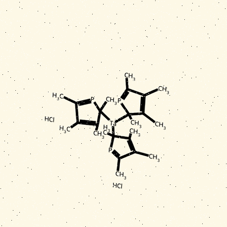 CC1=P[C](C)([Ta]([C]2(C)P=C(C)C(C)=C2C)[C]2(C)P=C(C)C(C)=C2C)C(C)=C1C.Cl.Cl